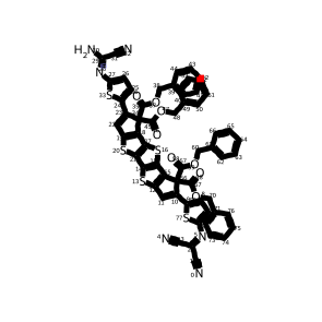 N#CC(C#N)=Nc1ccc(C2=Cc3sc4c(sc5c6c(sc54)C=C(c4ccc(/N=C(/N)C#N)s4)C6(C(=O)OCc4ccccc4)C(=O)OCc4ccccc4)c3C2(C(=O)OCc2ccccc2)C(=O)OCc2ccccc2)s1